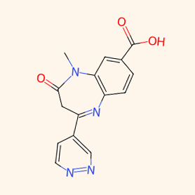 CN1C(=O)CC(c2ccnnc2)=Nc2ccc(C(=O)O)cc21